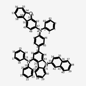 c1ccc(N(c2ccc(-c3cc(N(c4ccccc4)c4ccccc4)c4c5ccccc5n(-c5ccc6ccccc6c5)c4c3)cc2)c2ccc3c(c2)oc2ccccc23)cc1